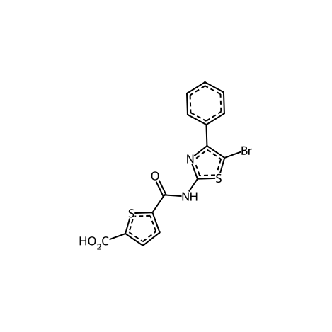 O=C(O)c1ccc(C(=O)Nc2nc(-c3ccccc3)c(Br)s2)s1